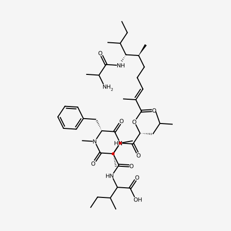 CCC(C)C(NC(=O)CN(C)C(=O)[C@@H](Cc1ccccc1)N(C)C(=O)[C@@H](C)NC(=O)[C@@H](CC(C)C)OC(=O)/C(C)=C/CC[C@H](C)[C@H](NC(=O)C(C)N)C(C)CC)C(=O)O